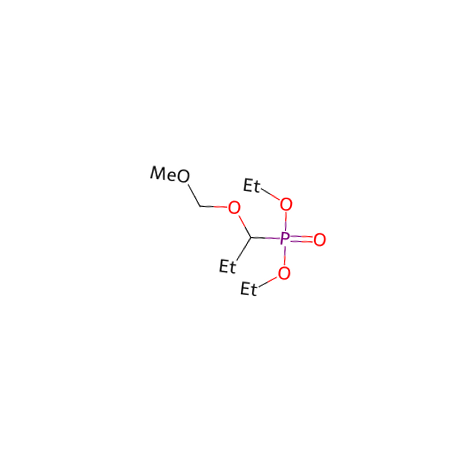 CCOP(=O)(OCC)C(CC)OCOC